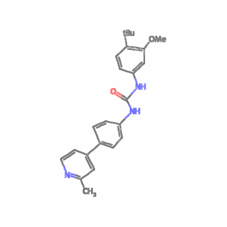 COc1cc(NC(=O)Nc2ccc(-c3ccnc(C)c3)cc2)ccc1C(C)(C)C